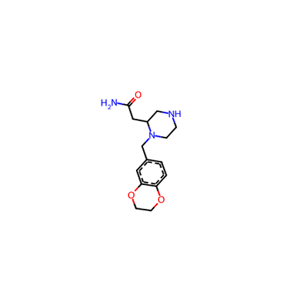 NC(=O)CC1CNCCN1Cc1ccc2c(c1)OCCO2